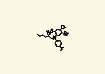 CCCCC1CN(c2ccc(F)cc2)c2cc(Br)c(OC)cc2SN1C